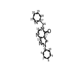 O=c1c2cn(-c3ccccc3)nc2ncn1Cc1ccccn1